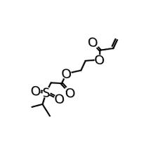 C=CC(=O)OCCOC(=O)CS(=O)(=O)C(C)C